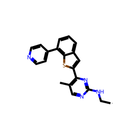 [CH2]CNc1ncc(C)c(-c2cc3cccc(-c4ccncc4)c3s2)n1